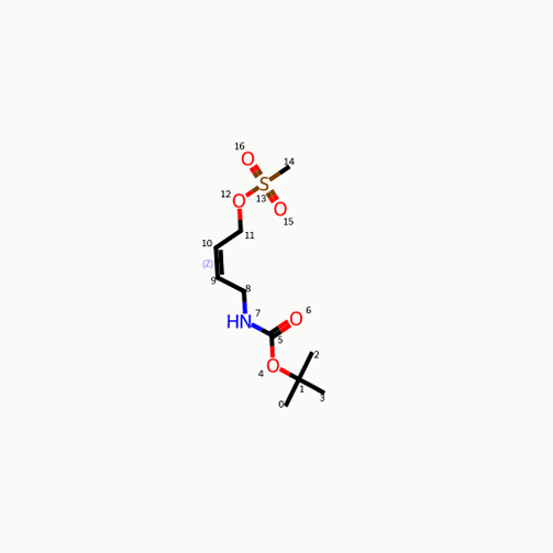 CC(C)(C)OC(=O)NC/C=C\COS(C)(=O)=O